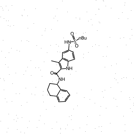 CCCCS(=O)(=O)Nc1ccc2[nH]c(C(=O)NC3CCCc4ccccc43)c(C)c2c1